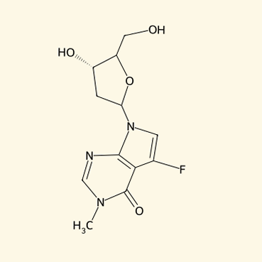 Cn1cnc2c(c(F)cn2C2C[C@H](O)C(CO)O2)c1=O